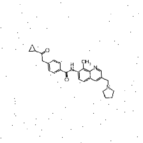 Cc1c(NC(=O)c2ccc(CC(=O)C3CC3)cc2)ccc2cc(CN3CCCC3)cnc12